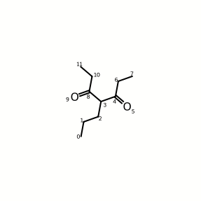 CCCC(C(=O)CC)C(=O)CC